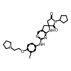 O=C1CC2(Cc3cnc(Nc4ccc(OCCN5CCCC5)c(F)c4)nc3N2)C(=O)N1C1CCCC1